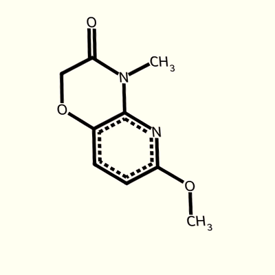 COc1ccc2c(n1)N(C)C(=O)CO2